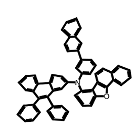 c1ccc(-c2c(-c3ccccc3)c3cc(N(c4cccc(-c5ccc6ccccc6c5)c4)c4cccc5oc6c7ccccc7ccc6c45)ccc3c3ccccc23)cc1